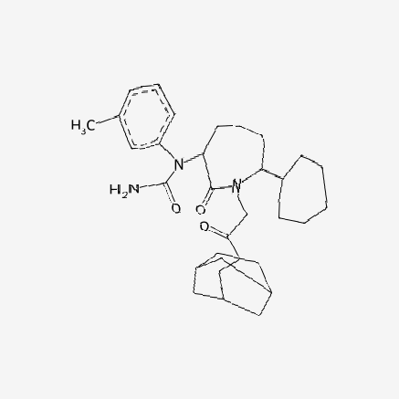 Cc1cccc(N(C(N)=O)C2CCCC(C3CCCCC3)N(CC(=O)C34CC5CC(CC(C5)C3)C4)C2=O)c1